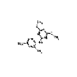 COc1nc(Nc2ccc(C)cc2N)nc(OC)n1